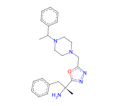 CC(c1ccccc1)N1CCN(Cc2nnc([C@](C)(N)Cc3ccccc3)o2)CC1